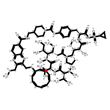 CC[C@H](C)[C@@H]([C@@H](CC(=O)N1CCC[C@H]1[C@H](OC)[C@@H](C)C(=O)N[C@@H](Cc1ccc(OC(=O)N2CCC(CNC(=O)c3ccc4nc(CSC)c(CSc5ccccccccc5)nc4c3)CC2)cc1)C(=O)NS(=O)(=O)C1CC1)OC)N(C)C(=O)[C@@H](NC(=O)[C@H](C(C)C)N(C)C)C(C)C